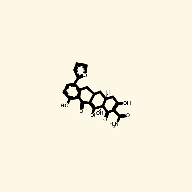 NC(=O)C1=C(O)C[C@@H]2CC3Cc4c(-c5ccco5)ccc(O)c4C(=O)C3=C(O)[C@]2(O)C1=O